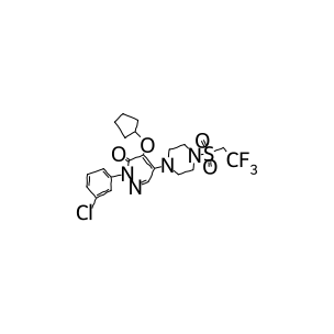 O=c1c(OC2CCCC2)c(N2CCN(S(=O)(=O)CC(F)(F)F)CC2)cnn1-c1cccc(Cl)c1